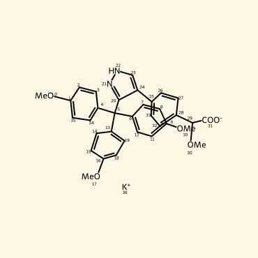 COc1ccc(C(c2ccc(OC)cc2)(c2ccc(OC)cc2)c2n[nH]cc2-c2ccc(C(OC)C(=O)[O-])cc2)cc1.[K+]